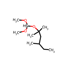 CCC(C)CC(C)(C)O[SiH](OC)OC